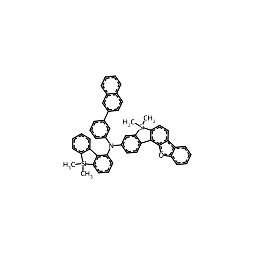 C[Si]1(C)c2ccccc2-c2c(N(c3cccc(-c4ccc5ccccc5c4)c3)c3ccc4c(c3)[Si](C)(C)c3ccc5c(oc6ccccc65)c3-4)cccc21